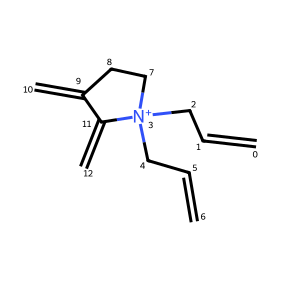 C=CC[N+]1(CC=C)CCC(=C)C1=C